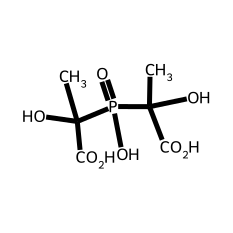 CC(O)(C(=O)O)P(=O)(O)C(C)(O)C(=O)O